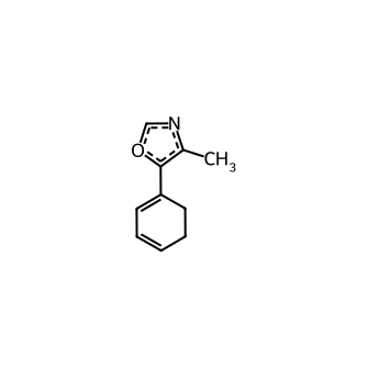 Cc1ncoc1C1=CC=CCC1